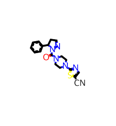 N#Cc1cnc(N2CCN(C(=O)N3N=CCC3c3ccccc3)CC2)s1